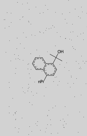 CCCc1ccc(C(C)(C)O)c2ccccc12